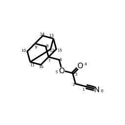 N#CCC(=O)OCC12CC3CC(CC(C3)C1)C2